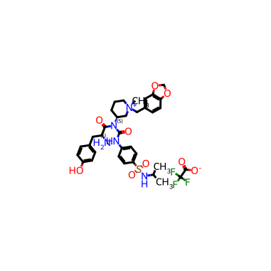 CC(C)NS(=O)(=O)c1ccc(NC(=O)N(C(=O)[C@@H](N)Cc2ccc(O)cc2)[C@H]2CCC[N+](C)(Cc3ccc4c(c3)OCO4)C2)cc1.O=C([O-])C(F)(F)F